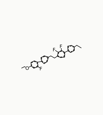 CCOc1ccc(-c2ccc(CCc3ccc(-c4ccc(CC)cc4)c(F)c3F)cc2)c(F)c1